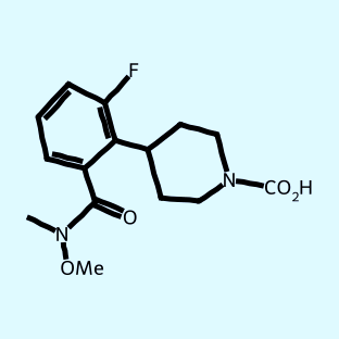 CON(C)C(=O)c1cccc(F)c1C1CCN(C(=O)O)CC1